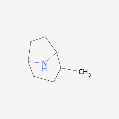 CC1CCC2CC[C]1N2